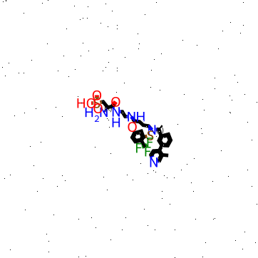 Cc1cnccc1-c1cccc([C@H](C)N(CCCC(=O)NCCNC(=O)[C@@H](N)CS(=O)(=O)O)Sc2ccccc2C(F)(F)F)c1